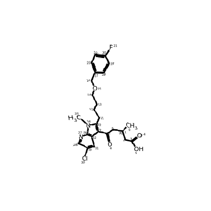 C[C@@H](CC(=O)O)CC(=O)c1c(CCCCOCc2ccc(F)cc2)n(C)c2ncc(Cl)cc12